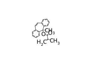 C=C(C)C(=O)OC1(C)c2ccccc2C=Cc2ccccc21